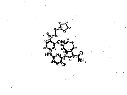 COc1cc(Nc2ncc(F)c(-n3cc(C(N)=O)c4c3=CC=CCC=4)n2)ccc1N(C)CCN1CCCC1